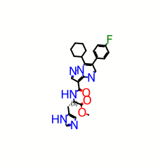 COC(=O)[C@H](Cc1cnc[nH]1)NC(=O)c1cnn2c(C3CCCCC3)c(-c3ccc(F)cc3)cnc12